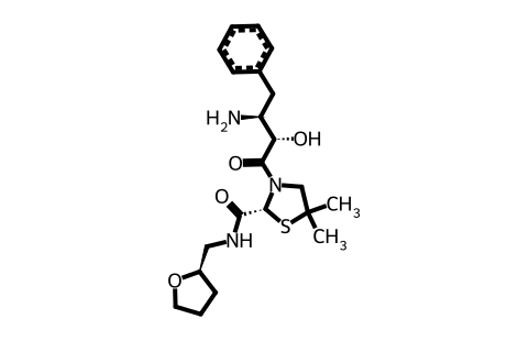 CC1(C)CN(C(=O)[C@@H](O)[C@@H](N)Cc2ccccc2)[C@@H](C(=O)NC[C@H]2CCCO2)S1